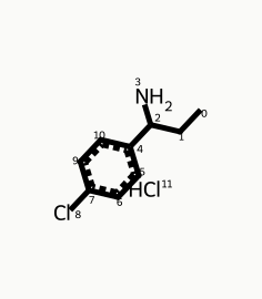 CCC(N)c1ccc(Cl)cc1.Cl